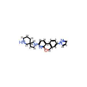 c1cnn(-c2ccc3c(c2)COc2nc(N4CCC5(CCCNC5)C4)ccc2-3)c1